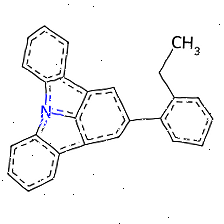 CCc1ccccc1-c1cc2c3ccccc3n3c4ccccc4c(c1)c23